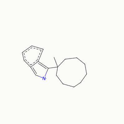 CC1(C2=c3ccccc3=C[N]2)CCCCCCCC1